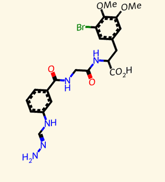 COc1cc(CC(NC(=O)CNC(=O)c2cccc(NC=NN)c2)C(=O)O)cc(Br)c1OC